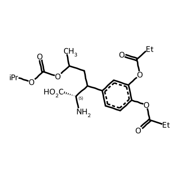 CCC(=O)Oc1ccc(C(CC(C)OC(=O)OC(C)C)[C@H](N)C(=O)O)cc1OC(=O)CC